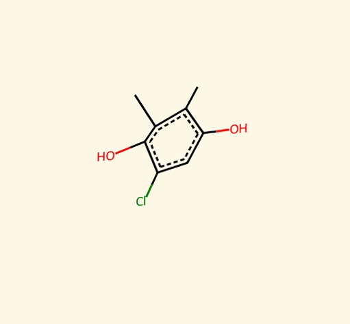 Cc1c(O)cc(Cl)c(O)c1C